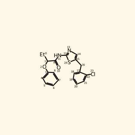 CCC(Oc1ccccc1)C(=O)Nc1ncc(Cc2ccccc2Cl)s1